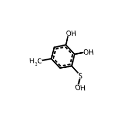 Cc1cc(O)c(O)c(SO)c1